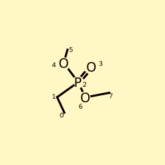 CCP(=O)(OC)OC